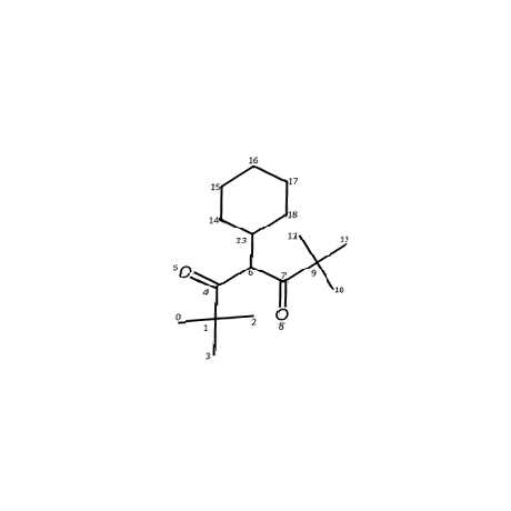 CC(C)(C)C(=O)C(C(=O)C(C)(C)C)C1CCCCC1